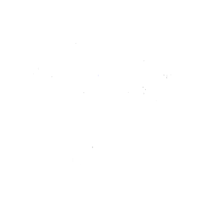 CC/C(=C(/c1ccc(/C=C/C(=O)O)cc1)c1ccc2nccn2c1)c1ccc(Cl)cc1Cl